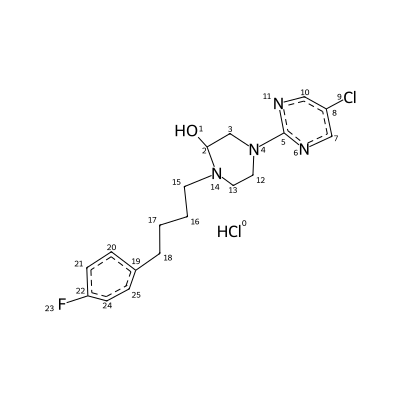 Cl.OC1CN(c2ncc(Cl)cn2)CCN1CCCCc1ccc(F)cc1